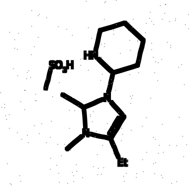 CCC1=CN(C2CCCCN2)C(C)N1C.CS(=O)(=O)O